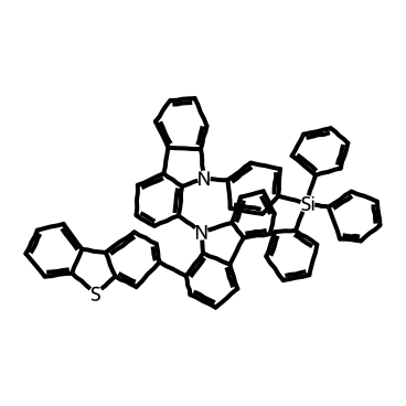 c1ccc([Si](c2ccccc2)(c2ccccc2)c2ccc(-n3c4ccccc4c4cccc(-n5c6ccccc6c6cccc(-c7ccc8c(c7)sc7ccccc78)c65)c43)cc2)cc1